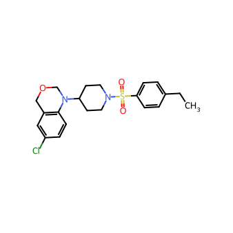 CCc1ccc(S(=O)(=O)N2CCC(N3COCc4cc(Cl)ccc43)CC2)cc1